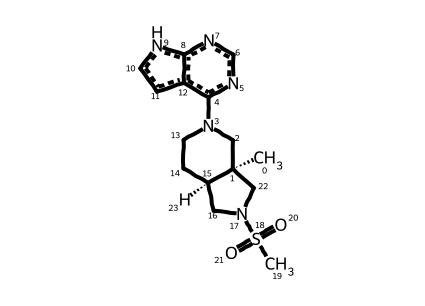 C[C@@]12CN(c3ncnc4[nH]ccc34)CC[C@@H]1CN(S(C)(=O)=O)C2